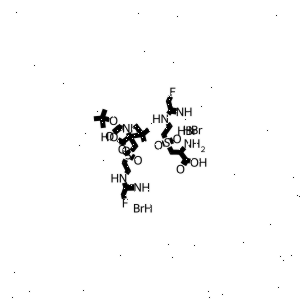 Br.Br.Br.CC(C)(C)OC(=O)NC(CS(=O)(=O)CCNC(=N)CF)(C(=O)O)C(C)(C)C.N=C(CF)NCCS(=O)(=O)CC(N)C(=O)O